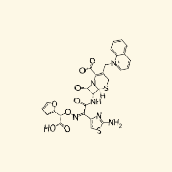 Nc1nc(/C(=N/OC(C(=O)O)c2ccco2)C(=O)N[C@@H]2C(=O)N3C(C(=O)[O-])=C(C[n+]4cccc5ccccc54)CS[C@@H]23)cs1